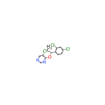 CC(Oc1ncncc1Cl)c1ccc(Cl)cc1Cl